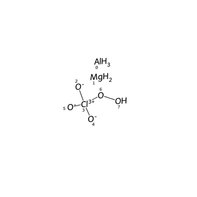 [AlH3].[MgH2].[O-][Cl+3]([O-])([O-])OO